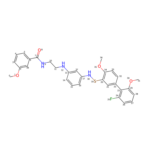 COc1cccc(C(=O)NCCNc2cccc(NSc3cc(-c4c(F)cccc4OC)ccc3OC)c2)c1